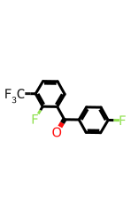 O=C(c1ccc(F)cc1)c1cccc(C(F)(F)F)c1F